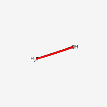 BC#CC#CC#CC#CC#CC#CC#CC#CC#CC#CC#CC#CC#CC#CC#CC#CC#CC#CC#CC#CC#CC#CC#CC#CC#CC#CC#CC#CC#C